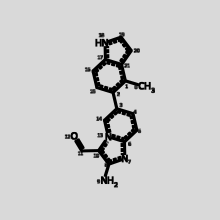 Cc1c(-c2ccc3nc(N)c(C=O)n3c2)ccc2[nH]ccc12